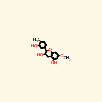 COc1cc(O)c2c(c1)OC(c1ccc(C)c(O)c1)C(O)C2